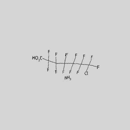 N.O=C(O)C(F)(F)C(F)(F)C(F)(F)C(F)(F)C(F)(F)C(F)(F)Cl